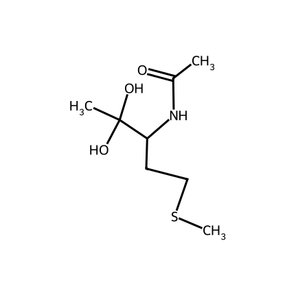 CSCCC(NC(C)=O)C(C)(O)O